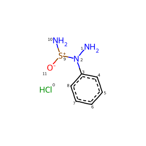 Cl.NN(c1ccccc1)[S+](N)[O-]